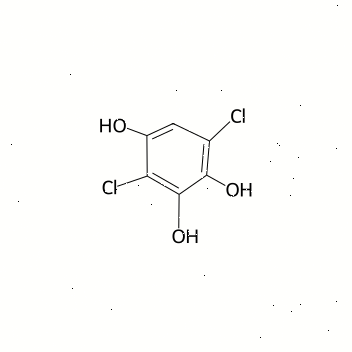 Oc1cc(Cl)c(O)c(O)c1Cl